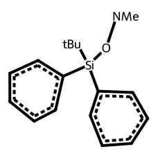 CNO[Si](c1ccccc1)(c1ccccc1)C(C)(C)C